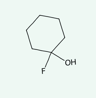 OC1(F)CCCCC1